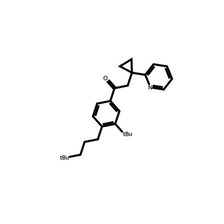 CC(C)(C)CCCc1ccc(C(=O)CC2(c3ccccn3)CC2)cc1C(C)(C)C